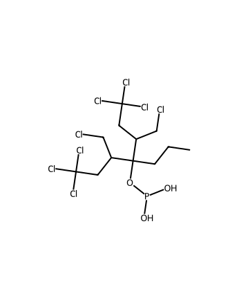 CCCC(OP(O)O)(C(CCl)CC(Cl)(Cl)Cl)C(CCl)CC(Cl)(Cl)Cl